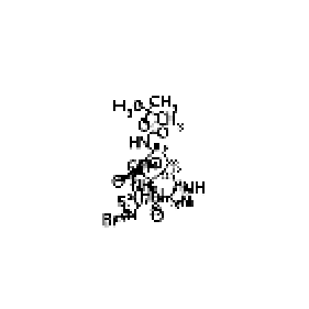 CC(C)(C)OC(=O)NC1CCC2(Cc3[nH]ncc3NC(=O)c3nc(Br)sc3NC(=O)O)CCC1O2